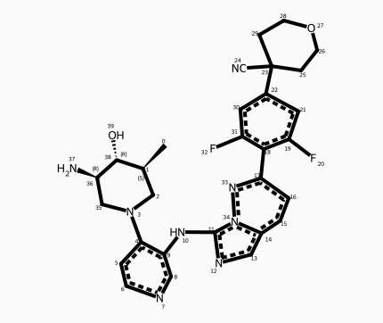 C[C@H]1CN(c2ccncc2Nc2ncc3ccc(-c4c(F)cc(C5(C#N)CCOCC5)cc4F)nn23)C[C@@H](N)[C@@H]1O